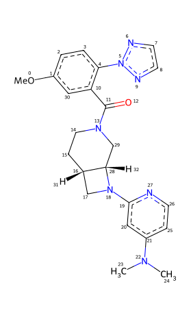 COc1ccc(-n2nccn2)c(C(=O)N2CC[C@H]3CN(c4cc(N(C)C)ccn4)[C@H]3C2)c1